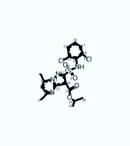 Cc1cc(C)n2nc(S(=O)(=O)Nc3c(Cl)cccc3Cl)c(C(=O)OC(C)C)c2n1